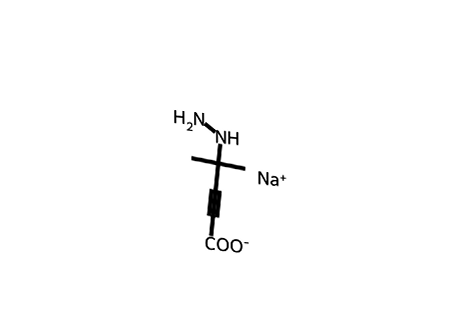 CC(C)(C#CC(=O)[O-])NN.[Na+]